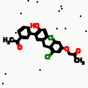 CC(=O)COc1cc(Cl)c(Cc2ccc(O)c(-c3cccc(C(C)=O)c3)c2)c(Cl)c1